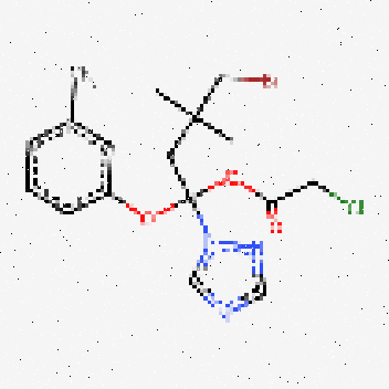 CC(C)(CBr)CC(OC(=O)CCl)(Oc1cccc(C(F)(F)F)c1)n1cncn1